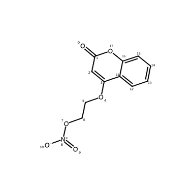 O=c1cc(OCCO[N+](=O)[O-])c2ccccc2o1